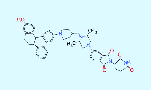 CC1CN(c2ccc3c(c2)C(=O)N(C2CCC(=O)NC2=O)C3=O)CC(C)N1CC1CCN(c2ccc([C@@H]3c4ccc(O)cc4CC[C@@H]3c3ccccc3)cc2)CC1